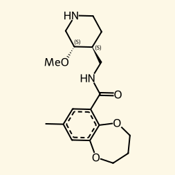 CO[C@@H]1CNCC[C@H]1CNC(=O)c1cc(C)cc2c1OCCCO2